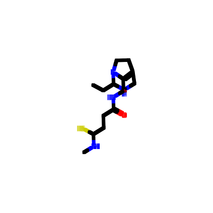 CCC1NCC2=C(CNC(=O)CCC(S)NC)N1CC2